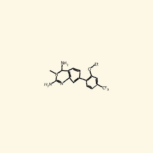 CCOc1cc(C(F)(F)F)ccc1-c1ccc2c(c1)N=C(N)N(C)C2N